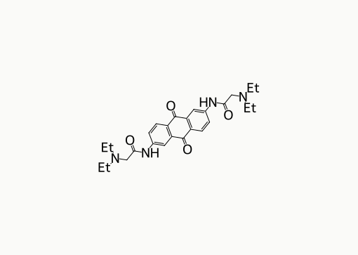 CCN(CC)CC(=O)Nc1ccc2c(c1)C(=O)c1ccc(NC(=O)CN(CC)CC)cc1C2=O